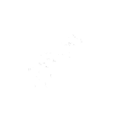 COc1cc(C2=NOC3(CCCN(C(C)c4cc(F)c(F)c(F)c4)C3=O)C2)ccc1-n1cnc(C)c1